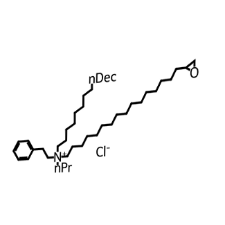 CCCCCCCCCCCCCCCCCC[N+](CCC)(CCCCCCCCCCCCCCCCC1CO1)CCc1ccccc1.[Cl-]